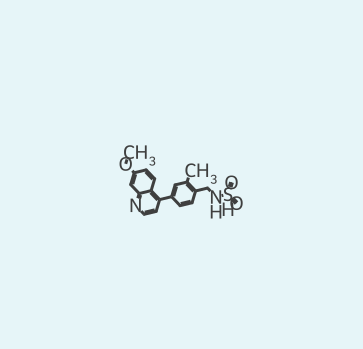 COc1ccc2c(-c3ccc(CN[SH](=O)=O)c(C)c3)ccnc2c1